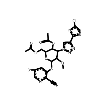 COC1C(Sc2cc(Br)cnc2C#N)OC(COC(C)=O)C(OC(C)=O)C1n1cc(-c2nc(Cl)cs2)nn1